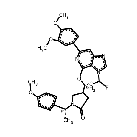 COc1ccc([C@@H](C)N2CC([C@@H](C)Oc3nc(-c4ccc(OC)c(OC)c4)cc4ncn(C(F)F)c34)CC2=O)cc1